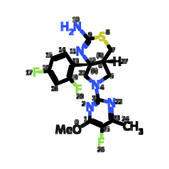 COc1nc(N2C[C@H]3CSC(N)=N[C@@]3(c3ccc(F)cc3F)C2)nc(C)c1F